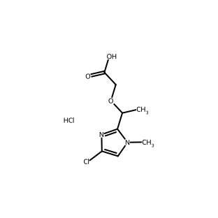 CC(OCC(=O)O)c1nc(Cl)cn1C.Cl